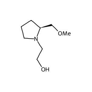 COC[C@@H]1CCCN1CCO